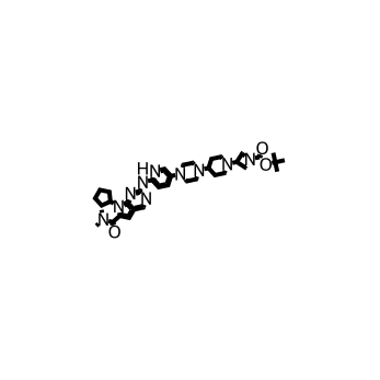 CN(C)C(=O)c1cc2cnc(Nc3ccc(N4CCN(C5CCN(C6CN(C(=O)OC(C)(C)C)C6)CC5)CC4)cn3)nc2n1C1CCCC1